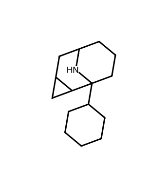 C1CCC(C23CCCC(CC4CC42)N3)CC1